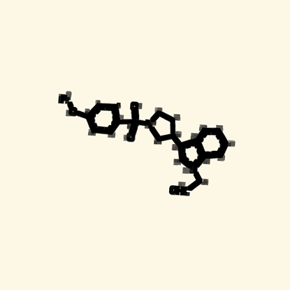 CC(C)Oc1ccc(S(=O)(=O)N2CCC(c3cn(CC=O)c4ccccc34)C2)cc1